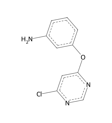 Nc1cccc(Oc2cc(Cl)ncn2)c1